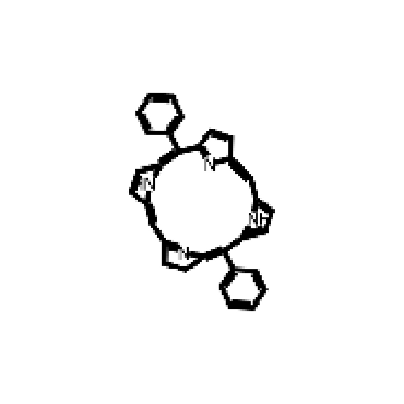 C1=Cc2nc1cc1ccc([nH]1)c(-c1ccccc1)c1nc(cc3ccc([nH]3)c2-c2ccccc2)CC1